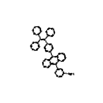 N#Cc1cccc(-c2c3ccccc3c(-c3ccc(C(=C(c4ccccc4)c4ccccc4)c4ccccc4)cc3)c3ccccc23)c1